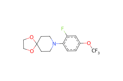 Fc1cc(OC(F)(F)F)ccc1N1CCC2(CC1)OCCO2